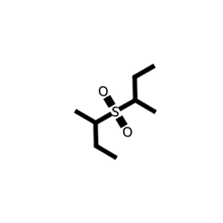 CCC(C)S(=O)(=O)C(C)CC